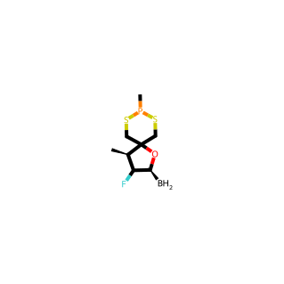 B[C@@H]1OC2(CSP(C)SC2)[C@H](C)C1F